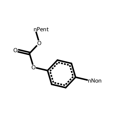 CCCCCCCCCc1ccc(OC(=O)OCCCCC)cc1